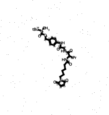 CC(C)C(NC(=O)CCCCCN1C(=O)C=CC1=O)C(=O)NCC(=O)Nc1ccc(COC(=O)N(C)C(C)(C)C)cc1